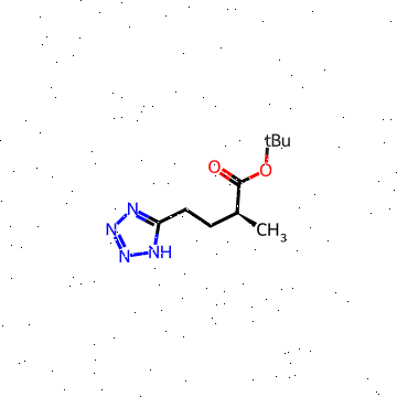 C[C@@H](CCc1nnn[nH]1)C(=O)OC(C)(C)C